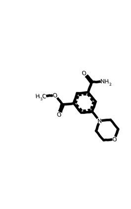 COC(=O)c1cc(C(N)=O)cc(N2CCOCC2)c1